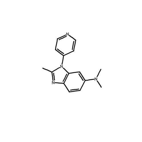 Cc1nc2ccc(N(C)C)cc2n1-c1ccncc1